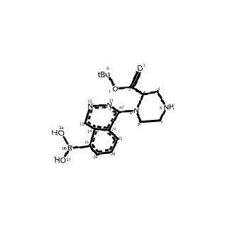 CC(C)(C)OC(=O)C1CNCCN1c1nncc2c(B(O)O)cccc12